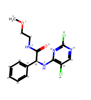 COCCNC(=O)[C@@H](Nc1nc(Cl)ncc1Cl)c1ccccc1